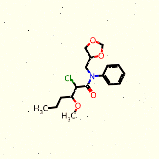 CCCC(OC)C(Cl)C(=O)N(CC1COCO1)c1ccccc1